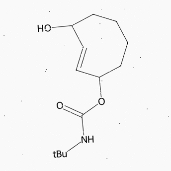 CC(C)(C)NC(=O)OC1/C=C/C(O)CCCC1